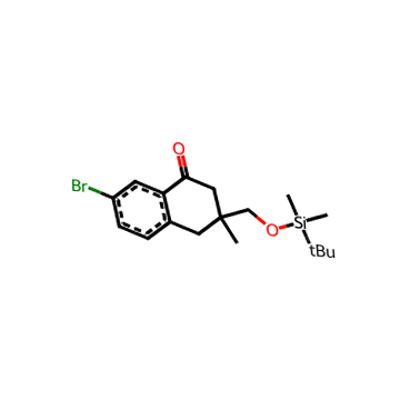 CC1(CO[Si](C)(C)C(C)(C)C)CC(=O)c2cc(Br)ccc2C1